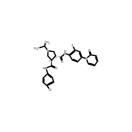 CC(C)N1C[C@H](C(=O)Nc2ccc(Cl)cc2)[C@@H](C(=O)Nc2ccc(-n3ccccc3=O)cc2F)C1